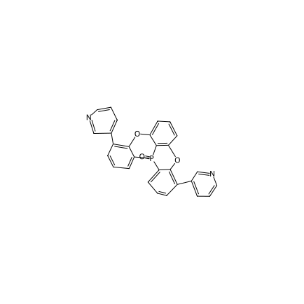 O=P12c3cccc(-c4cccnc4)c3Oc3cccc(c31)Oc1c(-c3cccnc3)cccc12